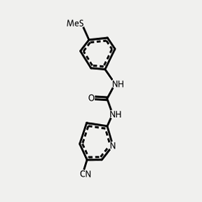 CSc1ccc(NC(=O)Nc2ccc(C#N)cn2)cc1